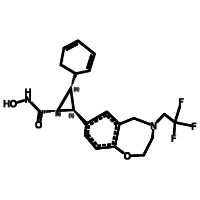 O=C(NO)[C@H]1[C@H](c2ccc3c(c2)CN(CC(F)(F)F)CCO3)[C@H]1C1C=CC=CC1